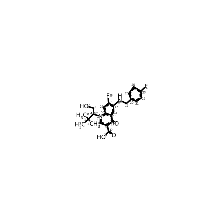 CC(C)(C)[C@@H](CO)n1cc(C(=O)O)c(=O)c2cc(NCc3ccc(F)cc3)c(F)cc21